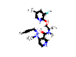 CCC#C/C=N\N(C)c1ccncc1C(=O)N(CC)[C@@H](C)COc1ncc(C(F)(F)F)cc1F